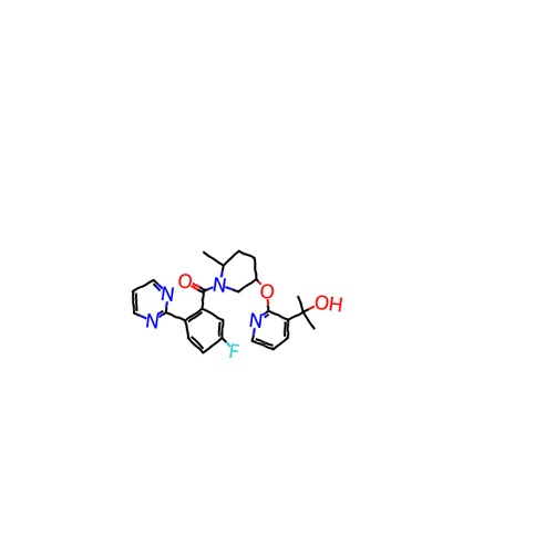 CC1CCC(Oc2ncccc2C(C)(C)O)CN1C(=O)c1cc(F)ccc1-c1ncccn1